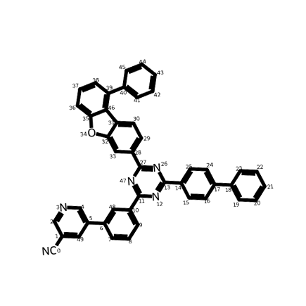 N#Cc1cncc(-c2cccc(-c3nc(-c4ccc(-c5ccccc5)cc4)nc(-c4ccc5c(c4)oc4cccc(-c6ccccc6)c45)n3)c2)c1